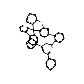 C1=C(c2ccccc2)CC(c2ccccc2-c2ccc3c(c2)Oc2ccccc2C32c3ccccc3-c3ccccc32)N=C1c1ccccc1